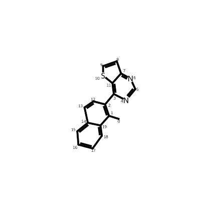 Cc1c(-c2ncnc3ccsc23)ccc2ccccc12